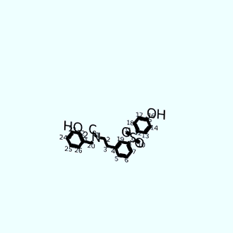 O=C(O)N(CCc1cccc(S(=O)(=O)c2ccc(O)cc2)c1)Cc1ccccc1